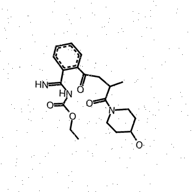 CCOC(=O)NC(=N)c1ccccc1C(=O)CC(C)C(=O)N1CCC([O])CC1